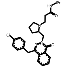 CC(C)NC(=O)CCN1CCCC1Cn1nc(Cc2ccc(Cl)cc2)c2ccccc2c1=O